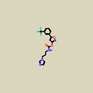 O=C(NCCCn1ccnc1)Oc1cc(-c2cccc(C(F)(F)F)c2)on1